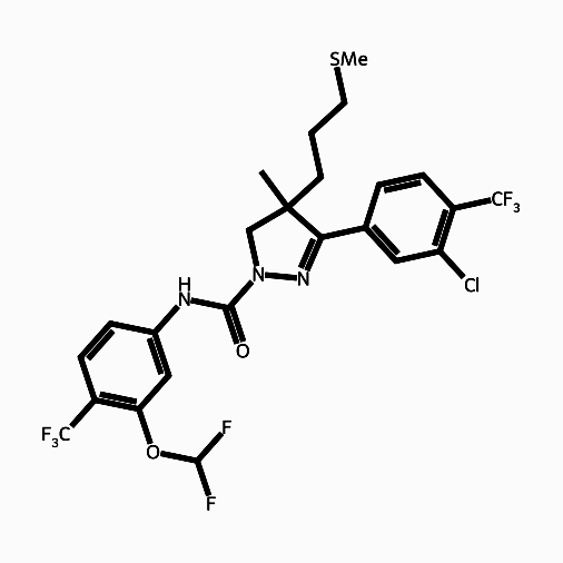 CSCCCC1(C)CN(C(=O)Nc2ccc(C(F)(F)F)c(OC(F)F)c2)N=C1c1ccc(C(F)(F)F)c(Cl)c1